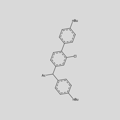 CCCCc1ccc(-c2ccc(C(C(C)=O)c3ccc(CCCC)cc3)cc2Cl)cc1